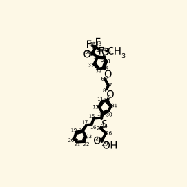 COc1cc(OCCCOc2ccc(C(CCCc3ccccc3)SCCC(=O)O)cc2)ccc1C(=O)C(F)(F)F